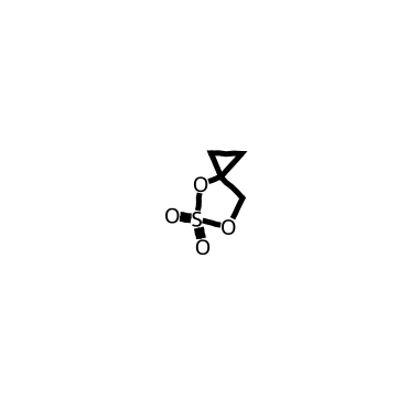 O=S1(=O)OCC2(CC2)O1